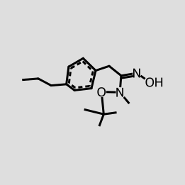 CCCc1ccc(C/C(=N/O)N(C)OC(C)(C)C)cc1